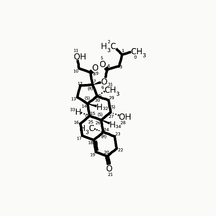 CC(C)CC(=O)O[C@]1(C(=O)CO)CC[C@H]2[C@@H]3CCC4=CC(=O)CC[C@]4(C)[C@H]3[C@@H](O)C[C@@]21C